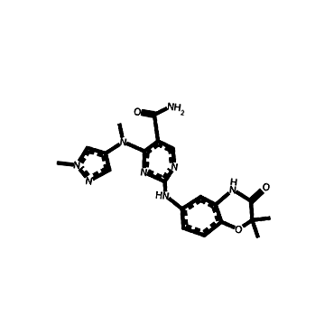 CN(c1cnn(C)c1)c1nc(Nc2ccc3c(c2)NC(=O)C(C)(C)O3)ncc1C(N)=O